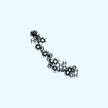 O=C(N[C@@H](c1ccccc1)c1cccc(OCc2ccc(C(=O)OCCN(C(=O)c3ccc(CNC[C@H](O)c4ccc(O)c5[nH]c(=O)ccc45)cc3)C3CCCCC3)cc2)c1)O[C@H]1CN2CCC1CC2